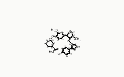 Cc1nc(-c2nnn(C)c2Cn2cnnc2-c2ccc(F)cc2)ccc1O[C@H]1CCC[C@H](C(=O)O)C1